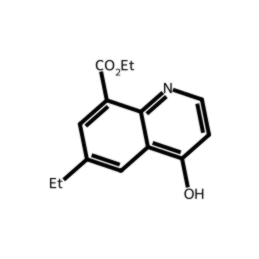 CCOC(=O)c1cc(CC)cc2c(O)ccnc12